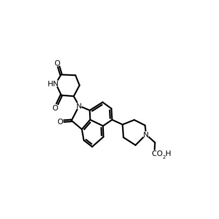 O=C(O)CN1CCC(c2ccc3c4c(cccc24)C(=O)N3C2CCC(=O)NC2=O)CC1